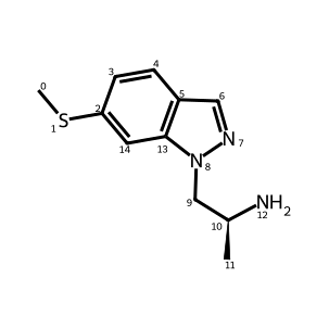 CSc1ccc2cnn(C[C@H](C)N)c2c1